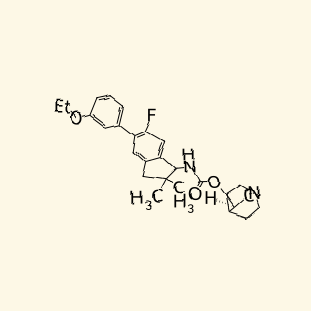 CCOc1cccc(-c2cc3c(cc2F)C(NC(=O)O[C@H]2CN4CCC2CC4)C(C)(C)C3)c1